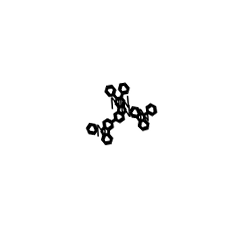 c1ccc(-c2nc3c4cc(-c5ccc6c(c5)c5ccccc5n6-c5ccccc5)ccc4n(-c4ccc5c(c4)c4ccccc4n5-c4ccccc4)c3nc2-c2ccccc2)cc1